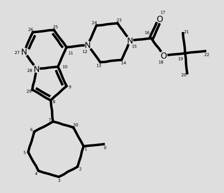 CC1CCCCCC(c2cc3c(N4CCN(C(=O)OC(C)(C)C)CC4)ccnn3c2)C1